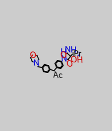 CC(=O)C(c1ccc(CN2CCOCC2)cc1)c1ccc(NC(=O)C(O)(C(N)=O)C(C)C)cc1